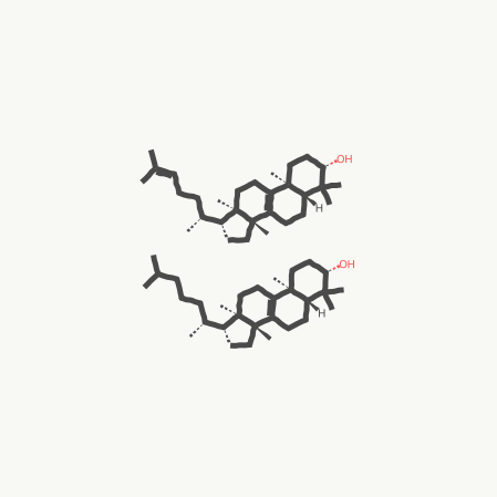 CC(C)=CCC[C@@H](C)[C@H]1CC[C@@]2(C)C3=C(CC[C@]12C)[C@@]1(C)CC[C@H](O)C(C)(C)[C@@H]1CC3.CC(C)CCC[C@@H](C)[C@H]1CC[C@@]2(C)C3=C(CC[C@]12C)[C@@]1(C)CC[C@H](O)C(C)(C)[C@@H]1CC3